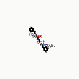 CCOC(=O)N[C@@H](COC(=O)/C=C/C(=O)OC[C@@H](Cc1ccccc1)NC(=O)OCC)Cc1ccccc1